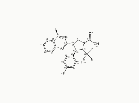 C[C@@H](NC(=O)[C@@H]1CN(C(=O)O)C(C(C)(C)C)[C@H]1c1ccc(F)cc1F)c1ccccc1